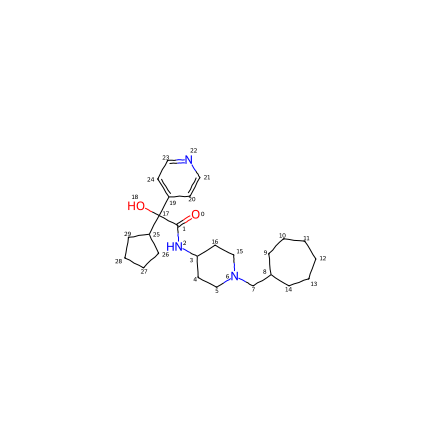 O=C(NC1CCN(CC2CCCCCC2)CC1)C(O)(c1ccncc1)C1CCCC1